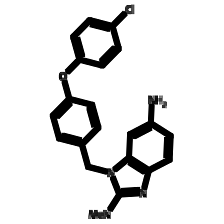 CNc1nc2ccc(N)cc2n1Cc1ccc(Oc2ccc(Cl)cc2)cc1